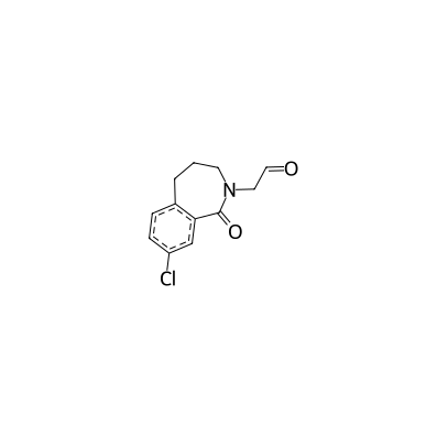 O=CCN1CCCc2ccc(Cl)cc2C1=O